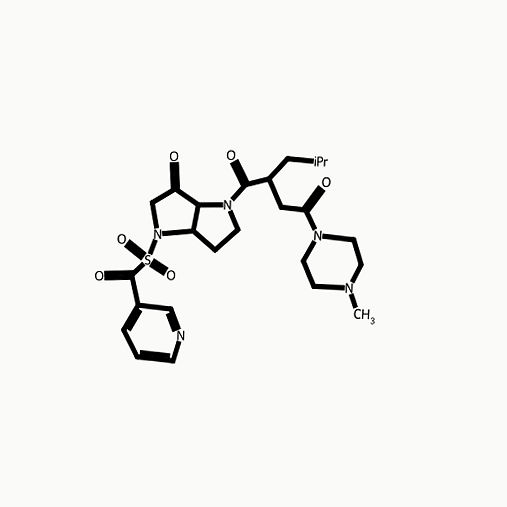 CC(C)CC(CC(=O)N1CCN(C)CC1)C(=O)N1CCC2C1C(=O)CN2S(=O)(=O)C(=O)c1cccnc1